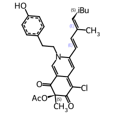 CC[C@H](C)/C=C(C)/C=C/C1=CC2=C(Cl)C(=O)[C@@](C)(OC(C)=O)C(=O)C2=CN1CCc1ccc(O)cc1